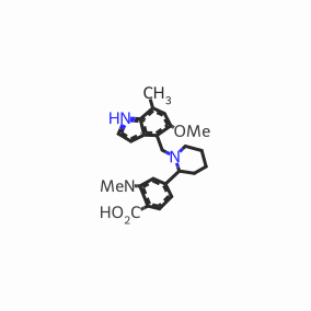 CNc1cc(C2CCCCN2Cc2c(OC)cc(C)c3[nH]ccc23)ccc1C(=O)O